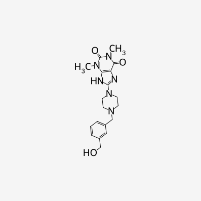 Cn1c(=O)c2nc(N3CCN(Cc4cccc(CO)c4)CC3)[nH]c2n(C)c1=O